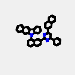 c1ccc(-c2cc(-c3ccc4ccccc4c3)nc(-c3ccc4cccc(-n5c6ccccc6c6cc7ccccc7cc65)c4c3)n2)cc1